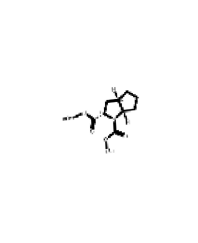 CCCCCCCCOC(=O)[C@@H]1C[C@@H]2CCC[C@@H]2N1C(=O)OC(C)(C)C